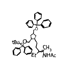 CCC(CCC1CC(COC(c2ccccc2)(c2ccccc2)c2ccccc2)CC1CO[Si](c1ccccc1)(c1ccccc1)C(C)(C)C)[C@H](C)NC(C)=O